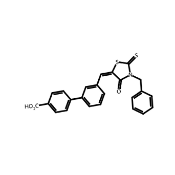 O=C(O)c1ccc(-c2cccc(C=C3SC(=S)N(Cc4ccccc4)C3=O)c2)cc1